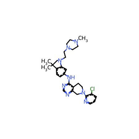 CN1CCN(CCN2CC(C)(C)c3ccc(Nc4ncnc5c4CCN(c4ncccc4Cl)C5)cc32)CC1